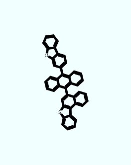 c1ccc2c(c1)oc1cc(-c3c4ccccc4c(-c4cc5sc6ccccc6c5c5ccccc45)c4ccccc34)ccc12